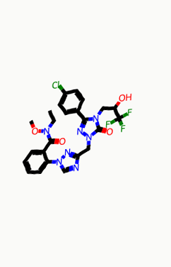 CCN(OC)C(=O)c1ccccc1-n1cnc(Cn2nc(-c3ccc(Cl)cc3)n(CC(O)C(F)(F)F)c2=O)n1